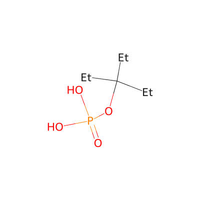 CCC(CC)(CC)OP(=O)(O)O